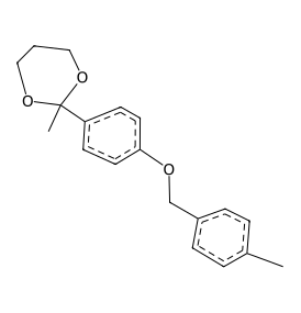 Cc1ccc(COc2ccc(C3(C)OCCCO3)cc2)cc1